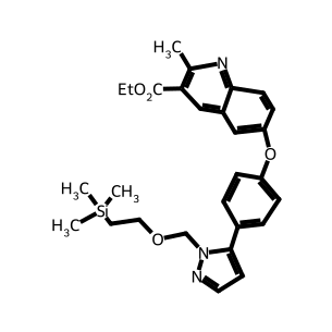 CCOC(=O)c1cc2cc(Oc3ccc(-c4ccnn4COCC[Si](C)(C)C)cc3)ccc2nc1C